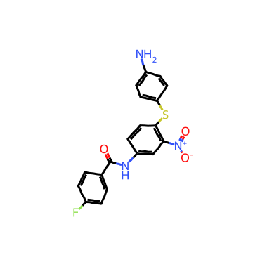 Nc1ccc(Sc2ccc(NC(=O)c3ccc(F)cc3)cc2[N+](=O)[O-])cc1